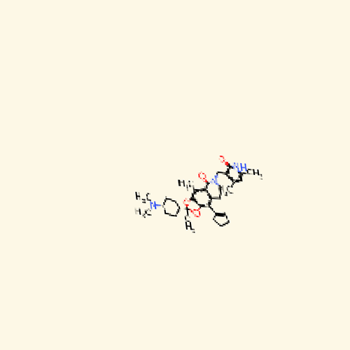 Cc1cc(C)c(CN2CCc3c(c(C)c4c(c3C3=CCCC3)OC(C)([C@H]3CC[C@H](N(C)C)CC3)O4)C2=O)c(=O)[nH]1